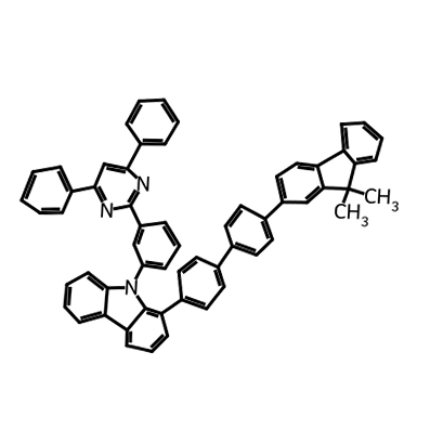 CC1(C)c2ccccc2-c2ccc(-c3ccc(-c4ccc(-c5cccc6c7ccccc7n(-c7cccc(-c8nc(-c9ccccc9)cc(-c9ccccc9)n8)c7)c56)cc4)cc3)cc21